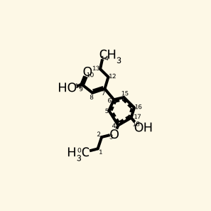 CCCOc1cc(C(=CC(=O)O)CCC)ccc1O